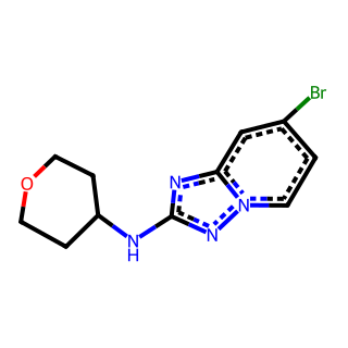 Brc1ccn2nc(NC3CCOCC3)nc2c1